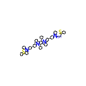 C(=C/c1csc2ccccc12)/C=C/N(c1ccccc1)c1ccc(-c2ccc3c(c2)c2cccc4c5c(-c6ccccc6)c6c(c(-c7ccccc7)c5n3c24)c2cccc3c4cc(-c5ccc(N(c7ccccc7)c7cccc8c7sc7ccccc78)cc5)ccc4n6c32)cc1